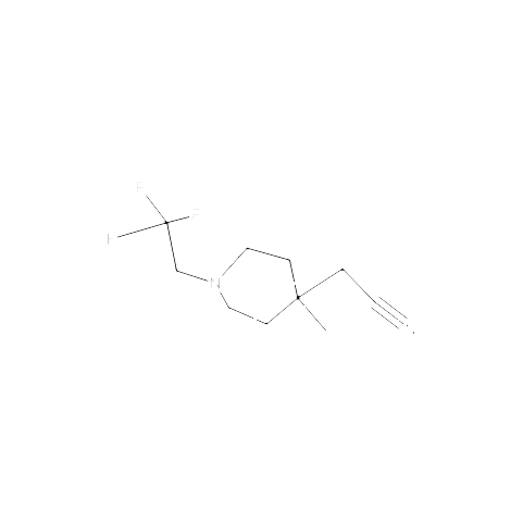 N#CCC1(I)CCN(CC(F)(F)F)CC1